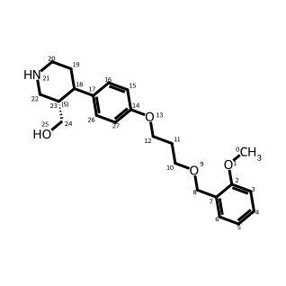 COc1ccccc1COCCCOc1ccc(C2CCNC[C@H]2CO)cc1